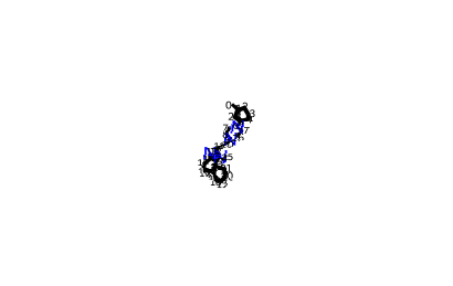 Cc1cccc(N2CCN(CCc3nc4ccc5ccccc5c4n3C)CC2)c1